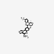 C[C@@H]1OCCN(C(=O)c2cc3c(cc2F)nc(N)c2cncn23)[C@H]1c1ccc(C(F)(F)F)cn1